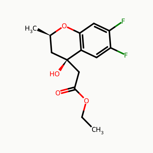 CCOC(=O)C[C@]1(O)C[C@@H](C)Oc2cc(F)c(F)cc21